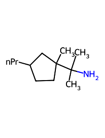 CCCC1CCC(C)(C(C)(C)N)C1